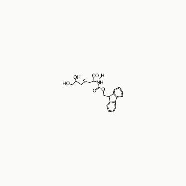 O=C(NC(CSCC(O)CO)C(=O)O)OCC1c2ccccc2-c2ccccc21